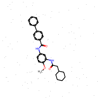 COc1ccc(NC(=O)c2ccc(-c3ccccc3)cc2)cc1NC(=O)CC1CCCCC1